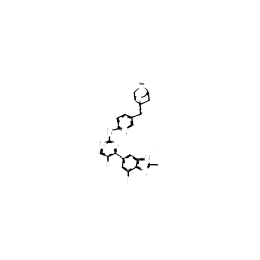 CCN1CC2CCC1CN2[C@H](C)c1ccc(Nc2ncc(F)c(-c3cc(F)c4nc(C)n(C(C)C)c4c3)n2)nc1